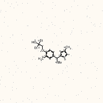 CCCCC(c1ccc(OCC(O)(CC)CC)c(C)c1)c1cc(C)cs1